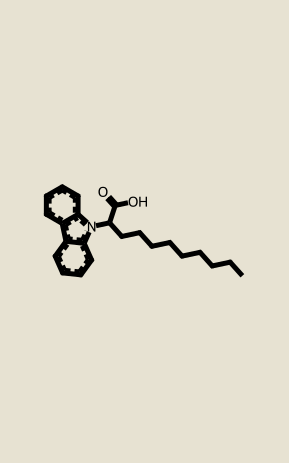 CCCCCCCCCC(C(=O)O)n1c2ccccc2c2ccccc21